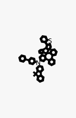 CC1(C)c2ccccc2-c2ccc(N(c3ccc(-c4ccccc4)cc3)c3ccc4c(c3)-c3ccccc3-c3ccccc3C43c4ccccc4-c4c3ccc3sc5ccccc5c43)cc21